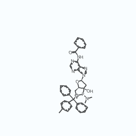 COP(N(C)C)[C@@]1(O)C[C@H](n2cnc3c(NC(=O)c4ccccc4)ncnc32)O[C@@H]1COC(c1ccccc1)(c1ccccc1)c1ccc(C)cc1